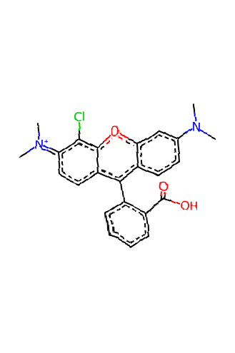 CN(C)c1ccc2c(-c3ccccc3C(=O)O)c3ccc(=[N+](C)C)c(Cl)c-3oc2c1